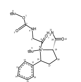 CC(C)(C)OC(=O)NCC(=O)[N+]1(C(C)(C)C)C(c2ccccc2)CC[C@H]1C(N)=O